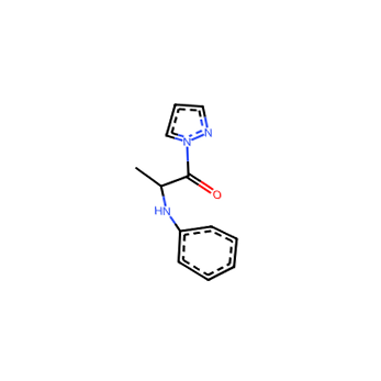 CC(Nc1ccccc1)C(=O)n1cccn1